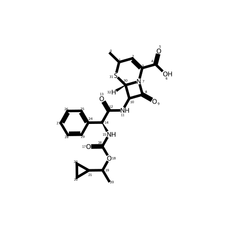 CC1C=C(C(=O)O)N2C(=O)C(NC(=O)[C@@H](NC(=O)OC(C)C3CC3)c3ccccc3)[C@@H]2S1